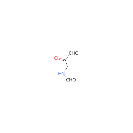 O=CNCC(=O)C=O